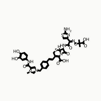 Cn1c[n+](Cc2ccc(/C=C/C3=C(C(=O)O)N4C(=O)[C@@H](NC(=O)/C(=N\OC(C)(C)C(=O)O)c5csc(N)n5)[C@H]4SC3)cc2)cc1C(=O)Nc1ccc(O)c(O)c1